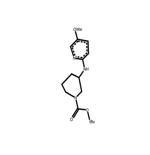 COc1ccc(NC2CCCN(C(=O)OC(C)(C)C)C2)nc1